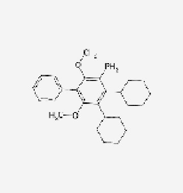 COc1c(P)c(C2CCCCC2)c(C2CCCCC2)c(OC)c1-c1ccccc1